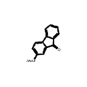 COc1ccc2c(c1)C(=O)c1ccccc1-2